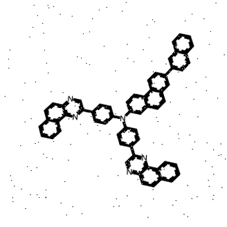 c1ccc2cc(-c3ccc4c(ccc5cc(N(c6ccc(-c7cnc8ccc9ccccc9c8n7)cc6)c6ccc(-c7cnc8ccc9ccccc9c8n7)cc6)ccc54)c3)ccc2c1